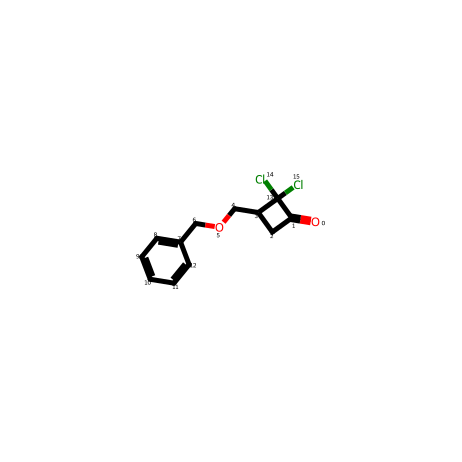 O=C1CC(COCc2ccccc2)C1(Cl)Cl